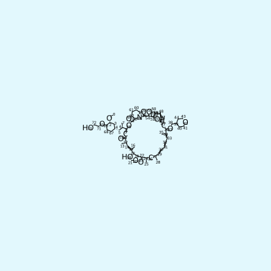 CO[C@@H]1C[C@H](C[C@@H](C)[C@@H]2CC(=O)[C@H](C)/C=C(\C)[C@@H](O)[C@@H](OC)C(=O)[C@H](C)C[C@H](C)/C=C/C=C/C=C(\C)C(OCC3CCOCC3)C[C@@H]3CC[C@@H](C)[C@@](O)(O3)C(=O)C(=O)N3CCCCC3C(=O)O2)CC[C@H]1OCCO